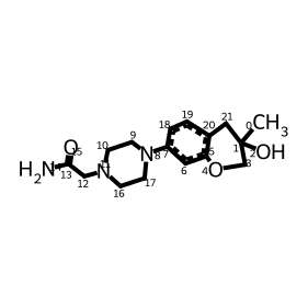 CC1(O)COc2cc(N3CCN(CC(N)=O)CC3)ccc2C1